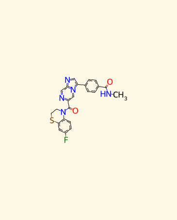 CNC(=O)c1ccc(-c2cnc3cnc(C(=O)N4CCSc5cc(F)ccc54)cn23)cc1